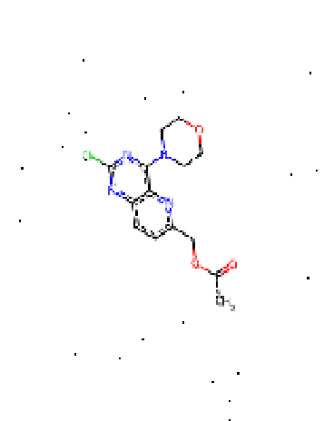 CC(=O)OCc1ccc2nc(Cl)nc(N3CCOCC3)c2n1